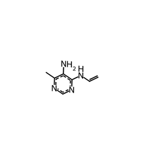 C=CNc1ncnc(C)c1N